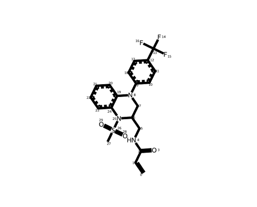 C=CC(=O)NCC1CN(c2ccc(C(F)(F)F)cc2)c2ccccc2N1S(C)(=O)=O